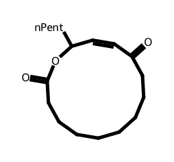 CCCCCC1C=CC(=O)CCCCCCCCC(=O)O1